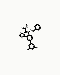 COC(=O)c1c(OCc2ccccc2)c2ccc(-c3cc(F)cc(F)c3)cc2c2ncnn12